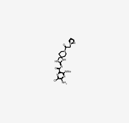 CNc1nc(N)c(Cl)nc1C(=O)/N=C1\NCC2(CCN(C(=O)Cn3cccn3)CC2)N1